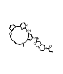 C=CC(=O)N1CCN(C)C(CC(=O)Nc2cc3cc(c2)Nc2nccc(n2)-c2cccc(c2)OCC/C=C/CN(C)C3)C1